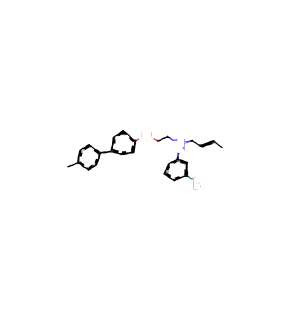 CC=CCN(CCOc1ccc(-c2ccc(C)cc2)cc1)c1cccc(Br)c1